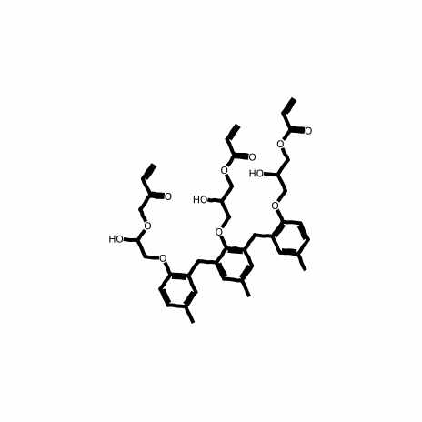 C=CC(=O)COC(O)COc1ccc(C)cc1Cc1cc(C)cc(Cc2cc(C)ccc2OCC(O)COC(=O)C=C)c1OCC(O)COC(=O)C=C